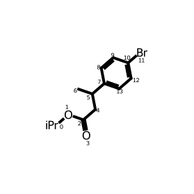 CC(C)OC(=O)CC(C)c1ccc(Br)cc1